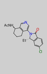 CC[C@H]1c2cc(Cl)ccc2C(=O)N1c1cncc2c1CCC[C@H]2NC(C)=O